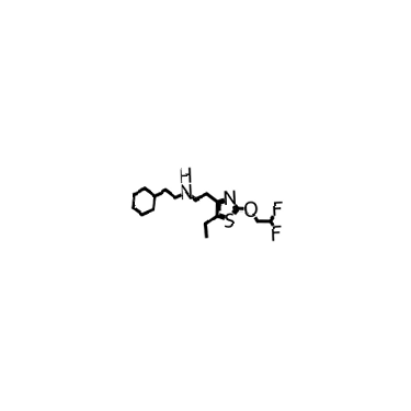 CCc1sc(OCC(F)F)nc1CCNCCC1CCCCC1